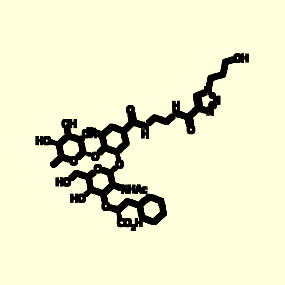 CCC1CC(C(=O)NCCNC(=O)c2cn(CCCO)nn2)C[C@@H](O[C@@H]2OC(CO)[C@H](O)C(O[C@@H](CC3CCCCC3)C(=O)O)C2NC(C)=O)C1O[C@@H]1OC(C)[C@@H](O)C(O)C1O